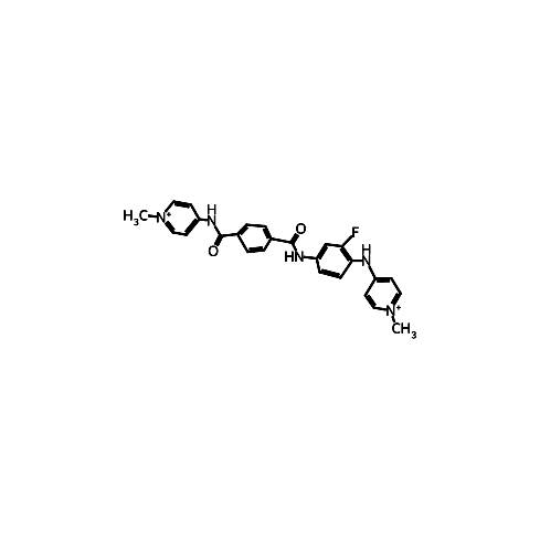 C[n+]1ccc(NC(=O)c2ccc(C(=O)Nc3ccc(Nc4cc[n+](C)cc4)c(F)c3)cc2)cc1